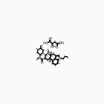 CCCn1cc2c3c(cccc31)[C@H]1C[C@@H](C(=O)N(C)C3CCC(C)CC3)CN(C)[C@@H]1C2.O=C(O)CC(O)C(=O)O